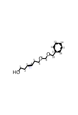 OCC/C=C/CCOCOCc1ccccc1